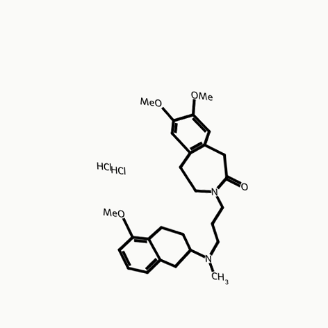 COc1cc2c(cc1OC)CC(=O)N(CCCN(C)C1CCc3c(cccc3OC)C1)CC2.Cl.Cl